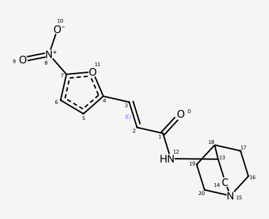 O=C(/C=C/c1ccc([N+](=O)[O-])o1)NC1CN2CCC1CC2